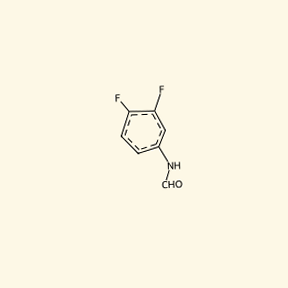 O=CNc1ccc(F)c(F)c1